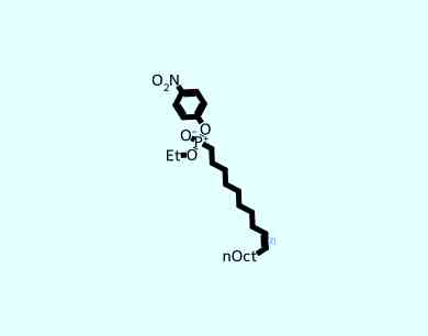 CCCCCCCC/C=C\CCCCCCCC[P+]([O-])(OCC)Oc1ccc([N+](=O)[O-])cc1